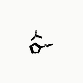 CNC.[CH3][Fe][C]1=CC=CC1